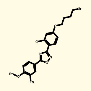 CC(C)Oc1ccc(-c2nc(-c3ccc(OCCCCBr)cc3Cl)no2)cc1C#N